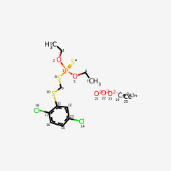 CCOP(=S)(OCC)SCSc1cc(Cl)ccc1Cl.[Ce+3].[Ce+3].[O-2].[O-2].[O-2]